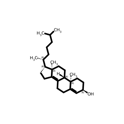 CC(C)CCC[C@@H](C)[C@H]1CCC2=C3CCC4=C[C@H](O)CC[C@]4(C)[C@H]3CC[C@@]21C